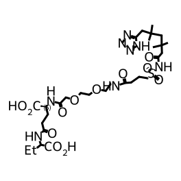 CCC(NC(=O)CC[C@H](NC(=O)COCCOCCNC(=O)CCCS(=O)(=O)NC(=O)CC(C)(C)CC(C)(C)Cc1nnn[nH]1)C(=O)O)C(=O)O